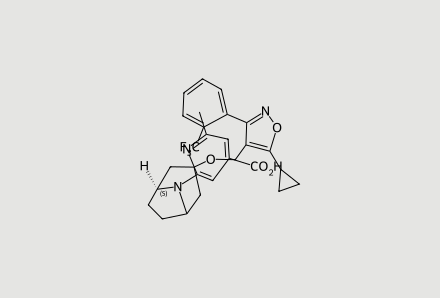 Cc1cc(C(=O)O)cc(N2C3CC[C@H]2CC(OCc2c(-c4ccccc4C(F)(F)F)noc2C2CC2)C3)n1